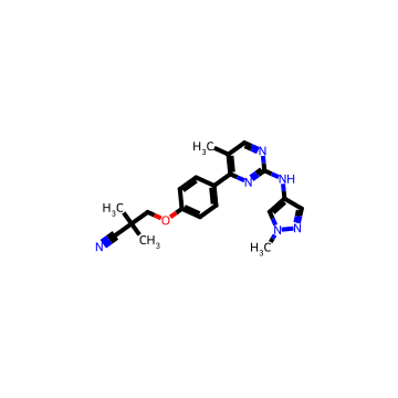 Cc1cnc(Nc2cnn(C)c2)nc1-c1ccc(OCC(C)(C)C#N)cc1